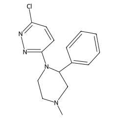 CN1CCN(c2ccc(Cl)nn2)C(c2ccccc2)C1